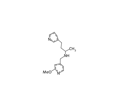 COc1cc(CNC(C)CCc2cccnc2)ccn1